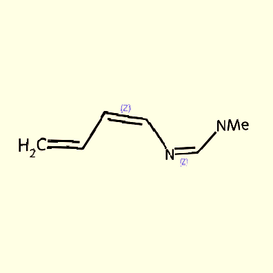 C=C/C=C\N=C/NC